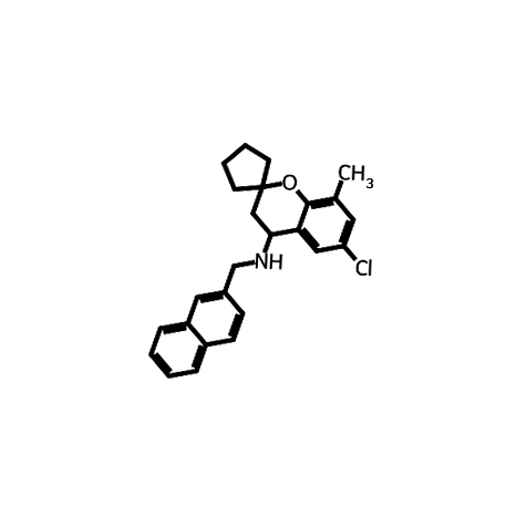 Cc1cc(Cl)cc2c1OC1(CCCC1)CC2NCc1ccc2ccccc2c1